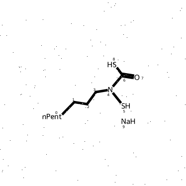 CCCCCCCCN(S)C(=O)S.[NaH]